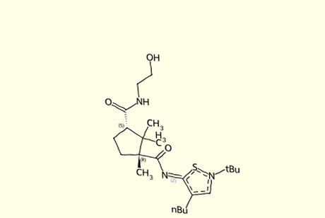 CCCCc1cn(C(C)(C)C)s/c1=N\C(=O)[C@]1(C)CC[C@H](C(=O)NCCO)C1(C)C